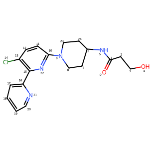 O=C(CCO)NC1CCN(c2ccc(Cl)c(-c3ccccn3)n2)CC1